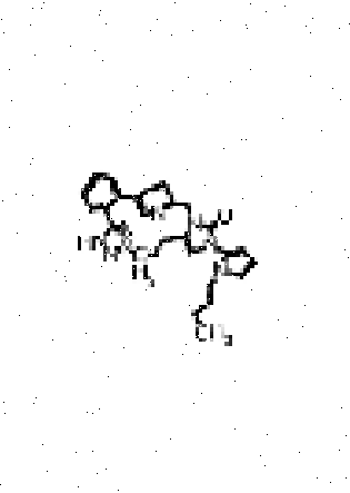 CCCCn1cccc1-n1cc(CCC)n(Cc2ccc(-c3ccccc3-c3nnn[nH]3)cn2)c1=O